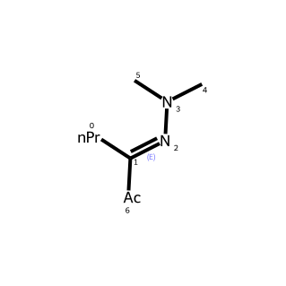 CCC/C(=N\N(C)C)C(C)=O